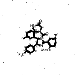 COc1ccc(F)cc1C1=NC(c2ccc(C(F)(F)F)cc2)C(c2cccc(C)c2)N1C(=O)N1CCNC(=O)C1